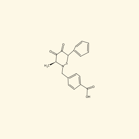 C[C@H]1C(=O)C(=O)C(c2ccccc2)SN1Cc1ccc(C(=O)O)cc1